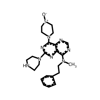 CN(CCc1ccccc1)c1ncnc2c(N3CC[S+]([O-])CC3)nc(N3CCNCC3)nc12